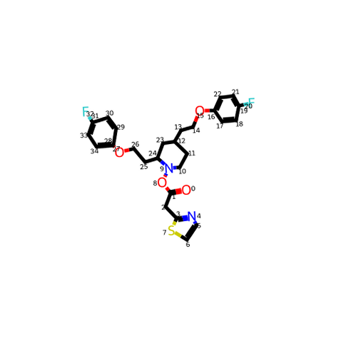 O=C(Cc1nccs1)ON1CCC(CCOc2ccc(F)cc2)CC1CCOc1ccc(F)cc1